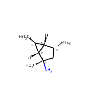 CC(=O)N[C@@H]1C[C@@](N)(C(=O)O)[C@@H]2[C@@H](C(=O)O)[C@@H]21